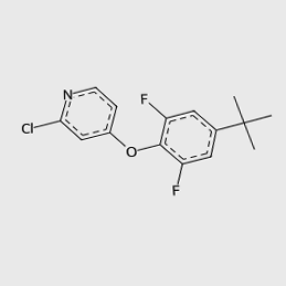 CC(C)(C)c1cc(F)c(Oc2ccnc(Cl)c2)c(F)c1